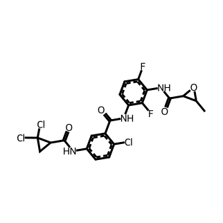 CC1OC1C(=O)Nc1c(F)ccc(NC(=O)c2cc(NC(=O)C3CC3(Cl)Cl)ccc2Cl)c1F